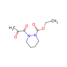 CCOC(=O)N1CCCCN1C(=O)C(C)=O